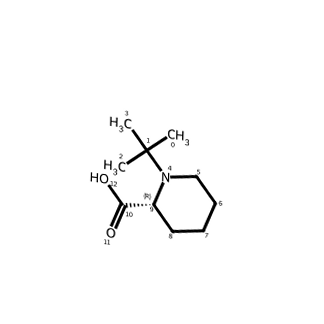 CC(C)(C)N1CCCC[C@@H]1C(=O)O